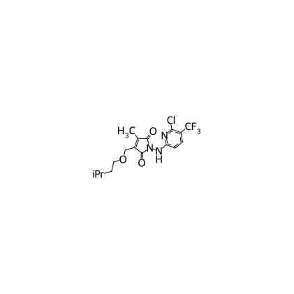 CC1=C(COCCC(C)C)C(=O)N(Nc2ccc(C(F)(F)F)c(Cl)n2)C1=O